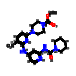 CC(C)(C)OC(=O)N1CCN(c2ccc([N+](=O)[O-])c(Nc3ccnc(NC(=O)N4CCCCC4)c3)n2)CC1